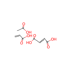 C=CC(=O)O.CC(=O)O.O=C(O)C=CC(=O)O